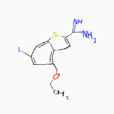 CCOc1cc(I)cc2sc(C(=N)N)cc12